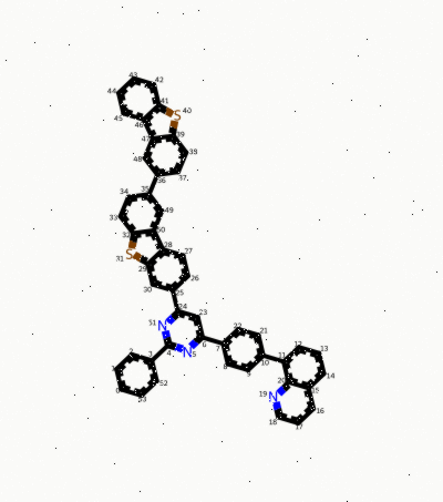 c1ccc(-c2nc(-c3ccc(-c4cccc5cccnc45)cc3)cc(-c3ccc4c(c3)sc3ccc(-c5ccc6sc7ccccc7c6c5)cc34)n2)cc1